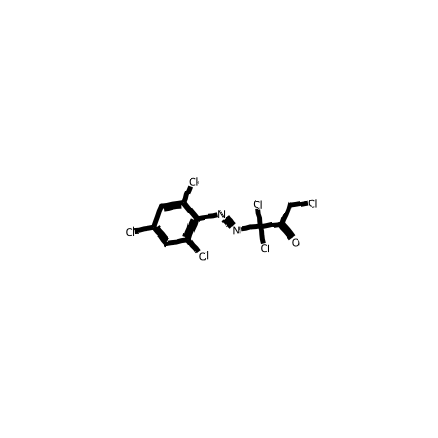 O=C(CCl)C(Cl)(Cl)N=Nc1c(Cl)cc(Cl)cc1Cl